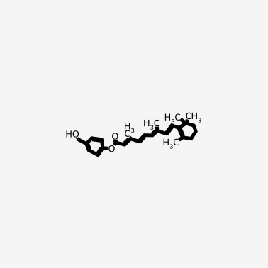 CC1=C(/C=C/C(C)=C/C=C/C(C)=C/C(=O)Oc2ccc(CO)cc2)C(C)(C)CCC1